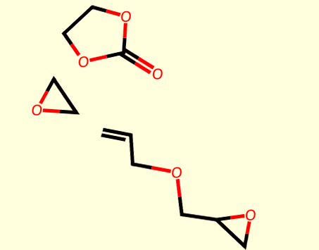 C1CO1.C=CCOCC1CO1.O=C1OCCO1